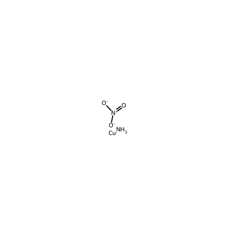 N.O=[N+]([O-])[O-].[Cu]